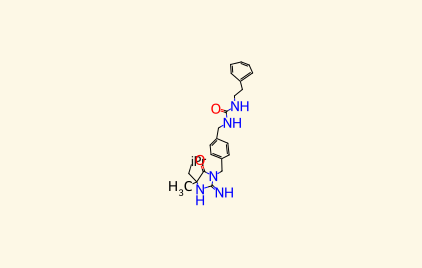 CC(C)CC1(C)NC(=N)N(Cc2ccc(CNC(=O)NCCc3ccccc3)cc2)C1=O